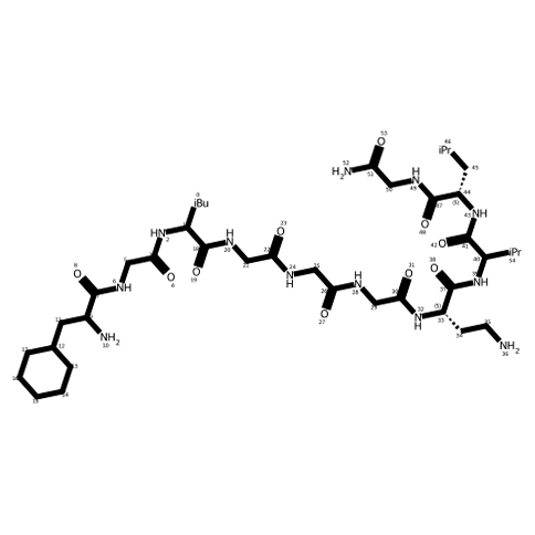 CCC(C)C(NC(=O)CNC(=O)C(N)CC1CCCCC1)C(=O)NCC(=O)NCC(=O)NCC(=O)N[C@@H](CCN)C(=O)NC(C(=O)N[C@@H](CC(C)C)C(=O)NCC(N)=O)C(C)C